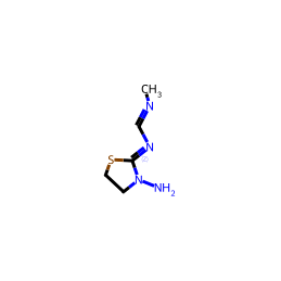 CN=C/N=C1\SCCN1N